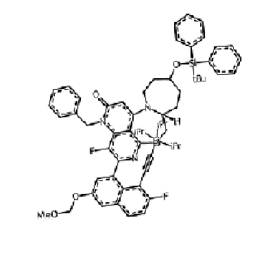 COCOc1cc(-c2nc3c4c(cc(=O)n(Cc5ccccc5)c4c2F)N2CCC(O[Si](c4ccccc4)(c4ccccc4)C(C)(C)C)CC[C@@H]2CO3)c2c(C#C[Si](C(C)C)(C(C)C)C(C)C)c(F)ccc2c1